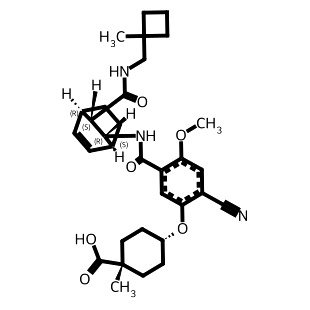 COc1cc(C#N)c(O[C@H]2CC[C@@](C)(C(=O)O)CC2)cc1C(=O)N[C@H]1[C@@H](C(=O)NCC2(C)CCC2)[C@H]2C=C[C@@H]1CC2